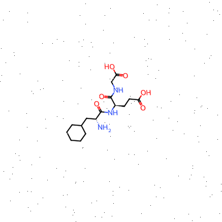 N[C@H](CC1CCCCC1)C(=O)N[C@H](CCC(=O)O)C(=O)NCC(=O)O